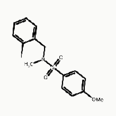 COc1ccc(S(=O)(=O)N(C)Cc2ccccc2I)cc1